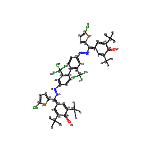 CC(C)(C)C1=CC(=C(/N=N/c2ccc(-c3ccc(/N=N/C(=C4C=C(C(C)(C)C)C(=O)C(C(C)(C)C)=C4)c4ccc(Cl)s4)cc3C(F)(F)F)c(C(F)(F)F)c2)c2ccc(Cl)s2)C=C(C(C)(C)C)C1=O